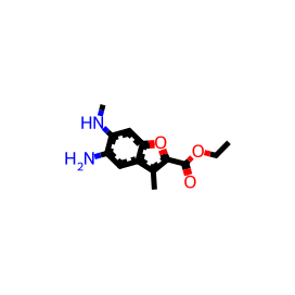 CCOC(=O)c1oc2cc(NC)c(N)cc2c1C